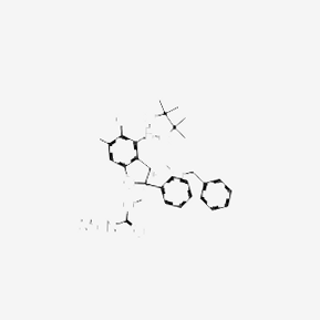 CNC(=O)OC[C@]1(c2ccccc2)Oc2cc(F)c(Cl)c(B3OC(C)(C)C(C)(C)O3)c2[C@@H]1COCc1ccccc1